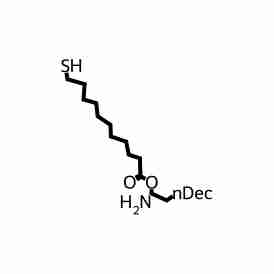 CCCCCCCCCCCC(N)OC(=O)CCCCCCCCCCS